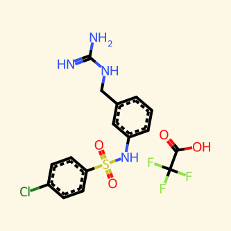 N=C(N)NCc1cccc(NS(=O)(=O)c2ccc(Cl)cc2)c1.O=C(O)C(F)(F)F